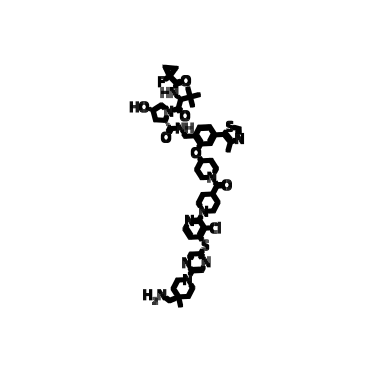 Cc1ncsc1-c1ccc(CNC(=O)[C@@H]2C[C@@H](O)CN2C(=O)[C@@H](NC(=O)C2(F)CC2)C(C)(C)C)c(OC2CCN(C(=O)C3CCN(c4nccc(Sc5cnc(N6CCC(C)(CN)CC6)cn5)c4Cl)CC3)CC2)c1